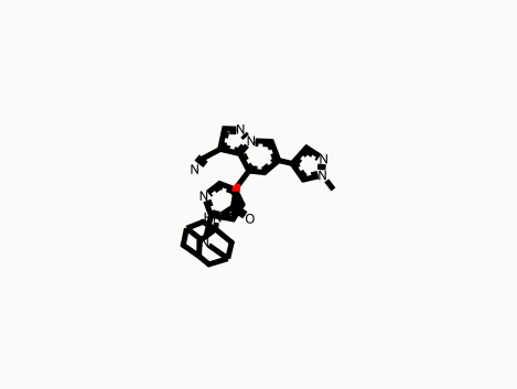 CC(=O)NC12CC3CC(C1)N(c1ccc(-c4cc(-c5cnn(C)c5)cn5ncc(C#N)c45)cn1)C(C3)C2